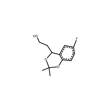 CC1(C)Oc2ccc(F)cc2C(CCO)O1